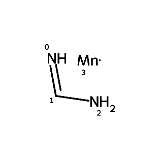 N=CN.[Mn]